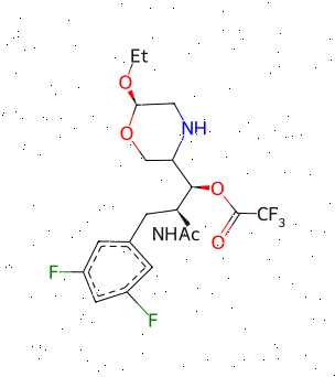 CCO[C@H]1CNC([C@@H](OC(=O)C(F)(F)F)[C@H](Cc2cc(F)cc(F)c2)NC(C)=O)CO1